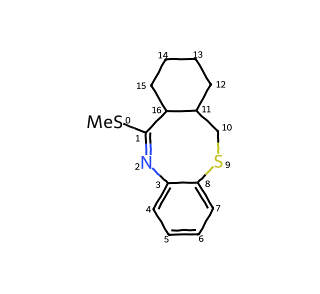 CS/C1=N/c2ccccc2SCC2CCCCC12